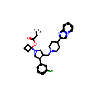 CCC(=O)OC1(N2CC(CN3CCC(c4cn5ccccc5n4)CC3)C(c3cccc(F)c3)C2)CCC1